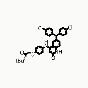 CC(C)(C)OC(=O)COc1ccc(Nc2cc(=O)[nH]c3ccc(C(c4ccc(Cl)cc4)c4ccc(Cl)cc4)cc23)cc1